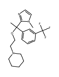 Cn1ccnc1C(C)(OCCN1CCCCC1)c1cccc(C(F)(F)F)c1